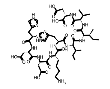 CC[C@H](C)[C@H](NC(=O)[C@H](Cc1c[nH]cn1)NC(=O)[C@H](CCCCN)NC(=O)[C@H](CC(=O)O)NC(=O)[C@H](CC(=O)O)NC(=O)[C@@H](N)Cc1c[nH]cn1)C(=O)N[C@H](C(=O)N[C@H](C(=O)N[C@@H](CC(=O)O)C(=O)O)C(C)C)[C@@H](C)CC